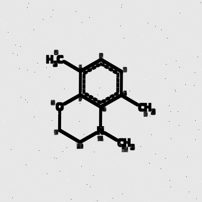 Cc1ccc(C)c2c1OCCN2C